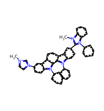 C[n+]1ccn(-c2ccc3c(c2)c2ccc4c5cc(-c6n(-c7ccccc7)c7ccccc7[n+]6C)ccc5n(-c5ccccc5)c4c2n3-c2ccccc2)c1